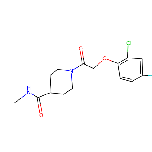 CNC(=O)C1CCN(C(=O)COc2ccc(F)cc2Cl)CC1